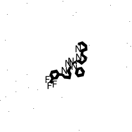 FC(F)(F)c1cccc(-c2cccc(-c3nnc(-c4cccc(-c5ccccn5)n4)n3-c3ccccc3)n2)c1